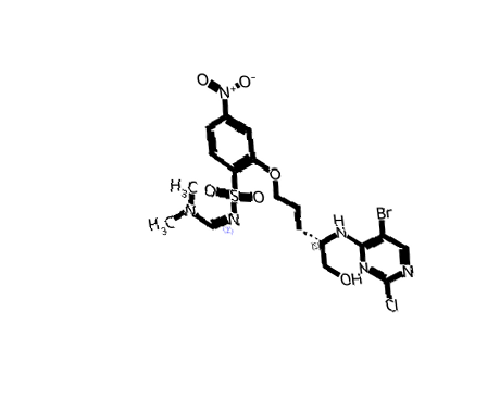 CN(C)/C=N\S(=O)(=O)c1ccc([N+](=O)[O-])cc1OCCC[C@@H](CO)Nc1nc(Cl)ncc1Br